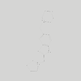 c1cc2[nH]c(CN3CCCC3)cc2cc1CN1CCOCC1